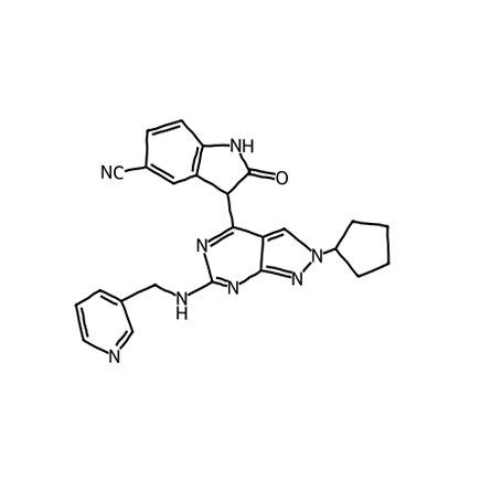 N#Cc1ccc2c(c1)C(c1nc(NCc3cccnc3)nc3nn(C4CCCC4)cc13)C(=O)N2